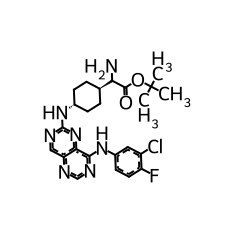 CC(C)(C)OC(=O)C(N)[C@H]1CC[C@H](Nc2ncc3ncnc(Nc4ccc(F)c(Cl)c4)c3n2)CC1